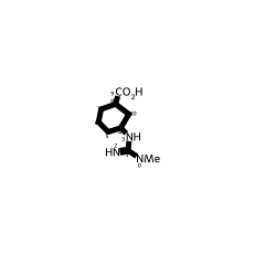 CNC(=N)NC1CCCC(C(=O)O)C1